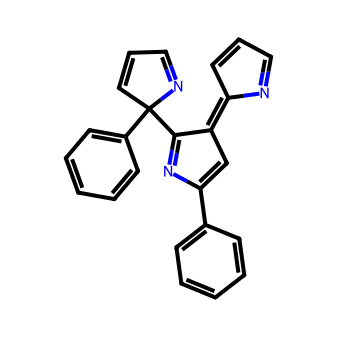 C1=CC(=C2C=C(c3ccccc3)N=C2C2(c3ccccc3)C=CC=N2)N=C1